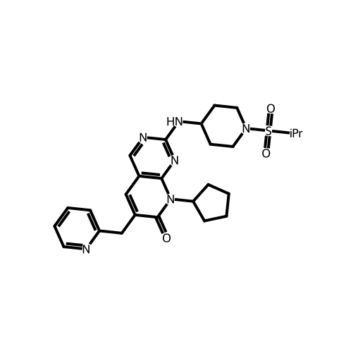 CC(C)S(=O)(=O)N1CCC(Nc2ncc3cc(Cc4ccccn4)c(=O)n(C4CCCC4)c3n2)CC1